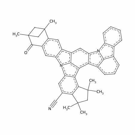 CC12CC(C)(C1)c1cc3c4cc5c(c6cccc7c8ccccc8n5c76)c5c6c7c(c(C#N)cc6n(c3cc1C2=O)c45)C(C)(C)CC7(C)C